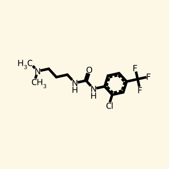 CN(C)CCCNC(=O)Nc1ccc(C(F)(F)F)cc1Cl